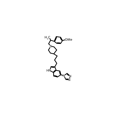 COc1ccc(C(C)CN2CCC(CCCc3c[nH]c4ccc(-n5cnnc5)cc34)CC2)cc1